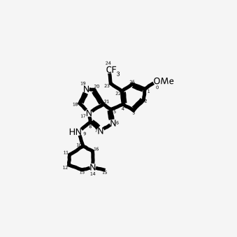 COc1ccc(-c2nnc(NC3CCCN(C)C3)n3cncc23)c(CC(F)(F)F)c1